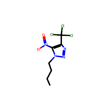 CCCCn1nnc(C(Cl)(Cl)Cl)c1[N+](=O)[O-]